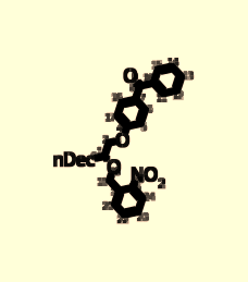 CCCCCCCCCCC(COc1ccc(C(=O)c2ccccc2)cc1)OCc1ccccc1[N+](=O)[O-]